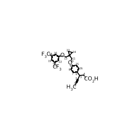 CC#CC(CC(=O)O)c1ccc(OCC2(COc3cc(C(F)(F)F)cc(C(F)(F)F)c3)CC2)cc1